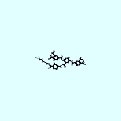 CCCCCCNC(=O)c1ccc(COC(=O)c2cc(OC(=O)c3ccc4c(c3)C(=O)OC4=O)ccc2OC(=O)c2ccc3c(c2)C(=O)OC3=O)cc1